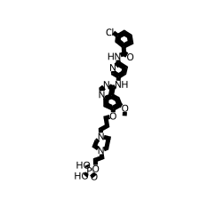 COc1cc2c(Nc3ccc(NC(=O)c4cccc(Cl)c4)nc3)ncnc2cc1OCCCN1CCN(CCOP(=O)(O)O)CC1